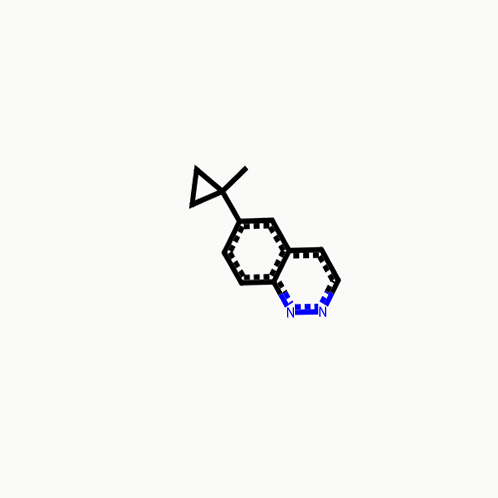 CC1(c2ccc3nnccc3c2)CC1